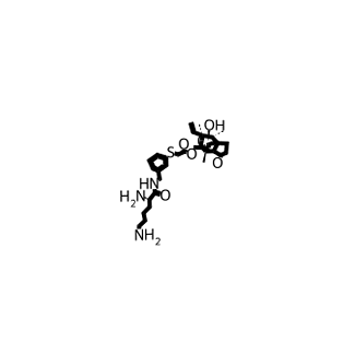 C=C[C@]1(C)C[C@@H](OC(=O)CSc2cccc(CNC(=O)[C@@H](N)CCCCN)c2)[C@]2(C)C(C)CCC3(CCC(=O)C32)[C@@H](C)[C@@H]1O